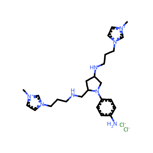 C[n+]1ccn(CCCNCC2CC(NCCCn3cc[n+](C)c3)CN2c2ccc(N)cc2)c1.[Cl-].[Cl-]